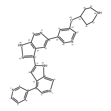 c1cncc(-c2cncc3[nH]c(-c4n[nH]c5cnc(-c6cncc(OC7CCNCC7)c6)cc45)cc23)c1